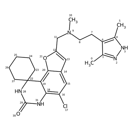 Cc1n[nH]c(C)c1CCN(C)Cc1cc2cc(Cl)c3c(c2o1)C1(CCCCC1)NC(=O)N3